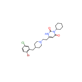 O=c1cc(CCN2CCC(Cc3cc(Cl)ccc3Br)CC2)[nH]c(=O)n1C1CCCCC1